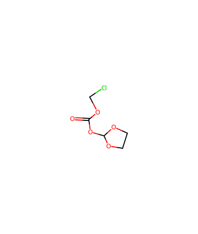 O=C(OCCl)OC1OCCO1